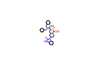 CC(CCC1CC(n2c(=O)[nH]c3ccccc32)CCN1C(=O)O)N(Cc1ccccc1)Cc1ccccc1